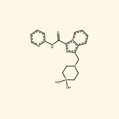 O=C(Nc1ccccn1)c1nc(CN2CCS(O)(O)CC2)c2ccccn12